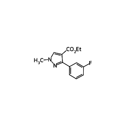 CCOC(=O)c1cn(C)nc1-c1cccc(F)c1